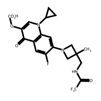 CC1(CNC(=O)C(F)(F)F)CN(c2cc3c(cc2F)c(=O)c(OC(=O)O)cn3C2CC2)C1